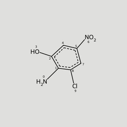 Nc1c(O)cc([N+](=O)[O-])cc1Cl